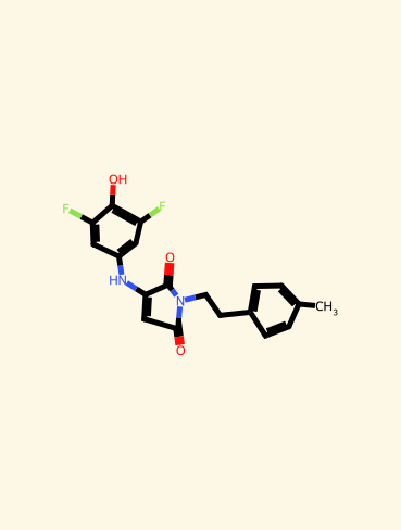 Cc1ccc(CCN2C(=O)C=C(Nc3cc(F)c(O)c(F)c3)C2=O)cc1